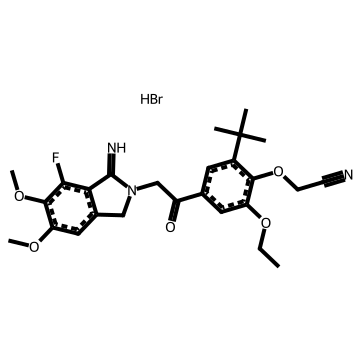 Br.CCOc1cc(C(=O)CN2Cc3cc(OC)c(OC)c(F)c3C2=N)cc(C(C)(C)C)c1OCC#N